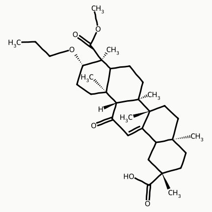 CCCO[C@H]1CC[C@@]2(C)C(CC[C@]3(C)[C@@H]2C(=O)C=C2C4C[C@@](C)(C(=O)O)CC[C@]4(C)CC[C@]23C)[C@]1(C)C(=O)OC